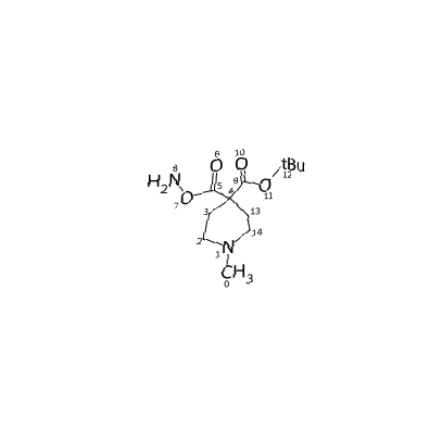 CN1CCC(C(=O)ON)(C(=O)OC(C)(C)C)CC1